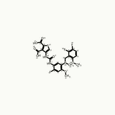 COc1cc(F)c(NC(=O)Nc2csc(C(=O)O)c2C(=O)O)cc1N(C)Cc1c(OC)ccc(F)c1F